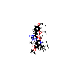 CCOC(=O)/C(C)=C/[C@H](C(C)C)N(C)C(=O)[C@@H](NC(=O)[C@@H](NC)C(C)(C)c1ccc(OC)cc1OC)C(C)(C)C